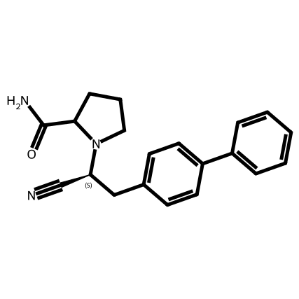 N#C[C@H](Cc1ccc(-c2ccccc2)cc1)N1CCCC1C(N)=O